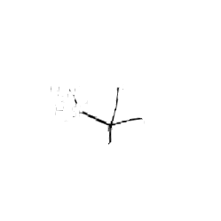 CC(C)(C)[SiH2]N